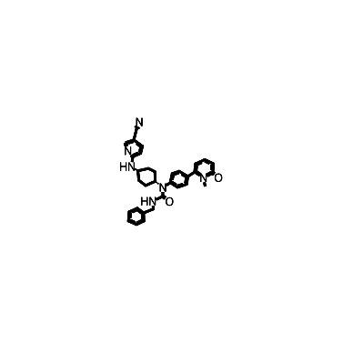 Cn1c(-c2ccc(N(C(=O)NCc3ccccc3)[C@H]3CC[C@H](Nc4ccc(C#N)cn4)CC3)cc2)cccc1=O